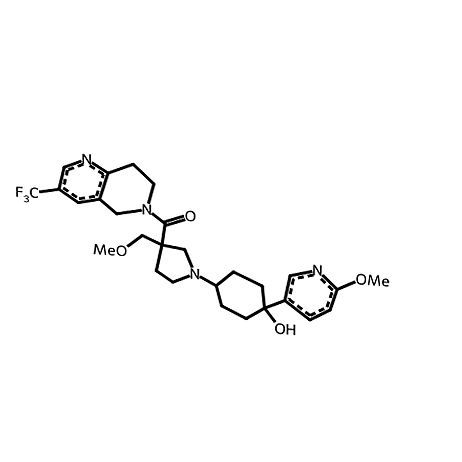 COCC1(C(=O)N2CCc3ncc(C(F)(F)F)cc3C2)CCN(C2CCC(O)(c3ccc(OC)nc3)CC2)C1